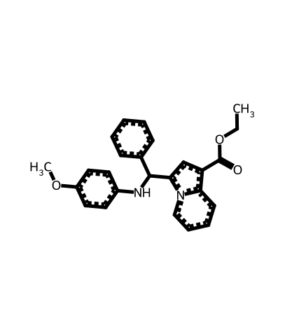 CCOC(=O)c1cc(C(Nc2ccc(OC)cc2)c2ccccc2)n2ccccc12